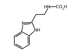 O=C(O)NCCc1nc2ccccc2[nH]1